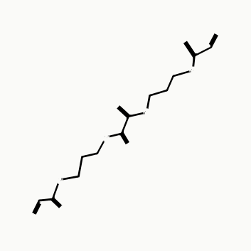 C=CC(=O)NCCCNC(=O)C(=O)NCCCNC(=O)C=C